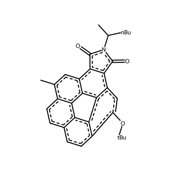 CCCCC(C)n1c(=O)c2c3cc(C)c4ccc5ccc6c(OC(C)(C)C)cc(c2c1=O)c1c6c5c4c31